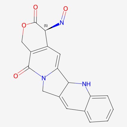 O=N[C@@H]1C(=O)OCc2c1cc1n(c2=O)CC2=Cc3ccccc3NC21